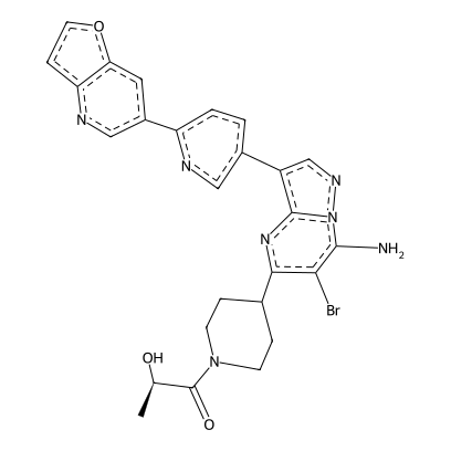 C[C@@H](O)C(=O)N1CCC(c2nc3c(-c4ccc(-c5cnc6ccoc6c5)nc4)cnn3c(N)c2Br)CC1